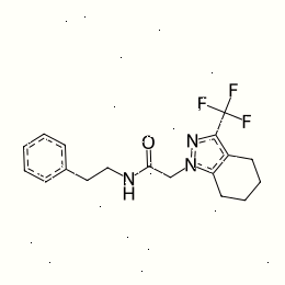 O=C(Cn1nc(C(F)(F)F)c2c1CCCC2)NCCc1ccccc1